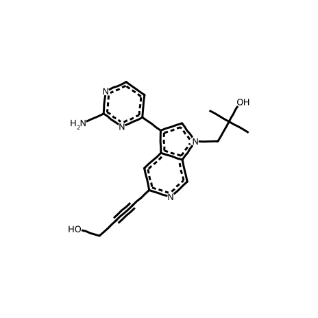 CC(C)(O)Cn1cc(-c2ccnc(N)n2)c2cc(C#CCO)ncc21